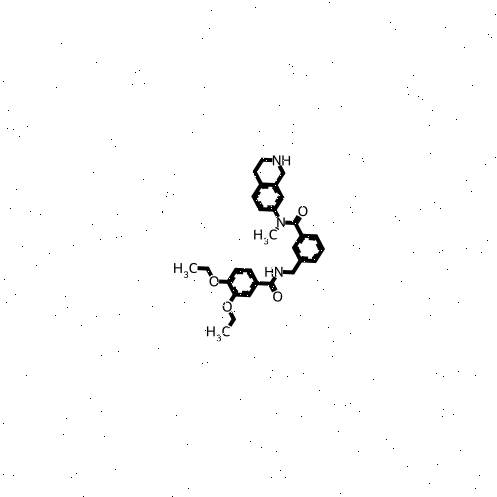 CCOc1ccc(C(=O)NCc2cccc(C(=O)N(C)c3ccc4c(c3)CNCC4)c2)cc1OCC